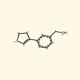 OCc1cccc(C2=CSCC2)c1